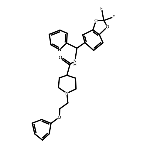 O=C(NC(c1ccc2c(c1)OC(F)(F)O2)c1ccccn1)C1CCN(CCOc2ccccc2)CC1